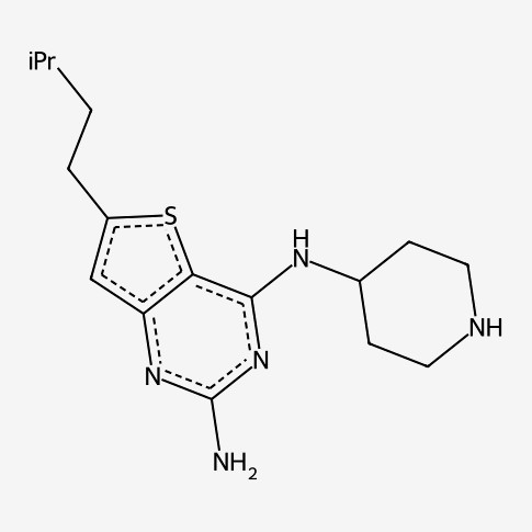 CC(C)CCc1cc2nc(N)nc(NC3CCNCC3)c2s1